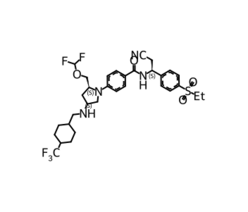 CCS(=O)(=O)c1ccc([C@H](CC#N)NC(=O)c2ccc(N3C[C@@H](NCC4CCC(C(F)(F)F)CC4)C[C@H]3COC(F)F)cc2)cc1